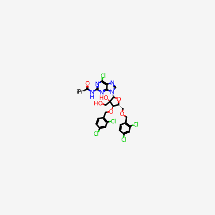 CC(C)C(=O)Nc1nc(Cl)c2ncn([C@@H]3O[C@H](COCc4ccc(Cl)cc4Cl)[C@@H](OCc4ccc(Cl)cc4Cl)[C@]3(O)CO)c2n1